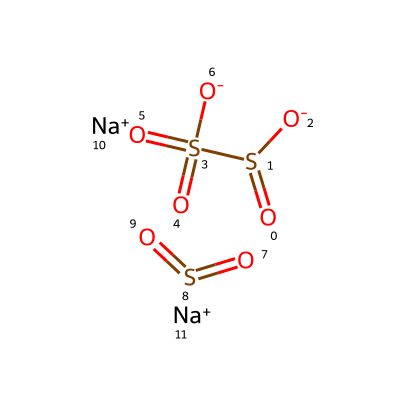 O=S([O-])S(=O)(=O)[O-].O=S=O.[Na+].[Na+]